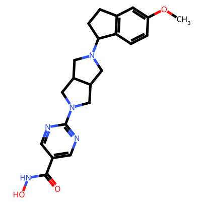 COc1ccc2c(c1)CCC2N1CC2CN(c3ncc(C(=O)NO)cn3)CC2C1